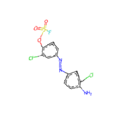 Nc1ccc(/N=N/c2ccc(OS(=O)(=O)F)c(Cl)c2)cc1Cl